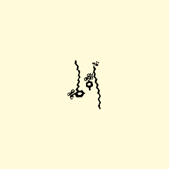 CCCCCCCCCCCCCCCC[N+](C)(C)C.CCCCCCCCCCCCc1ccccc1S(=O)(=O)[O-].Cc1ccc(S(=O)(=O)O)cc1